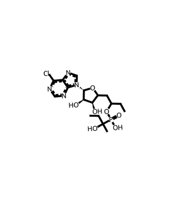 CCC(CC1O[C@@H](n2cnc3c(Cl)ncnc32)[C@H](O)[C@@H]1O)OP(=O)(O)C(C)(O)CC